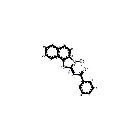 CCN1/C(=C\C(=O)c2ccccc2)Sc2c1ccc1ccccc21